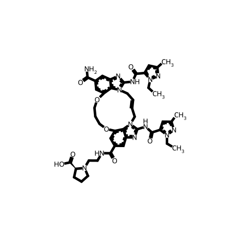 CCn1nc(C)cc1C(=O)Nc1nc2cc(C(N)=O)cc3c2n1C/C=C/Cn1c(NC(=O)c2cc(C)nn2CC)nc2cc(C(=O)NCCN4CCC[C@H]4C(=O)O)cc(c21)OCCCO3